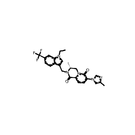 CCn1cc(CN2C(=O)c3ccc(-n4cnc(C)c4)c(=O)n3C[C@H]2C)c2ccc(C(F)(F)F)cc21